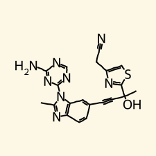 Cc1nc2ccc(C#CC(C)(O)c3nc(CC#N)cs3)cc2n1-c1ncnc(N)n1